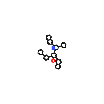 c1ccc(-c2cccc(-c3cc(-c4cc(-c5ccccc5)cc(-c5ccc6ccccc6c5)n4)cc4c3oc3c5ccccc5ccc43)c2)cc1